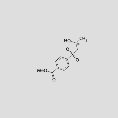 COC(=O)c1ccc(S(=O)(=O)C[C@@H](C)O)cc1